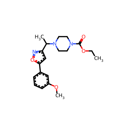 CCOC(=O)N1CCN(C(C)c2cc(-c3cccc(OC)c3)on2)CC1